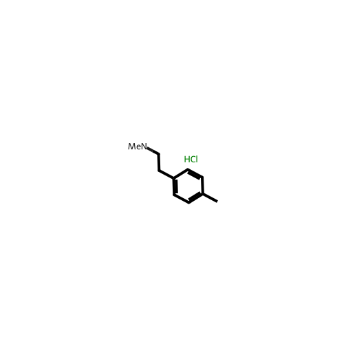 CNCCc1ccc(C)cc1.Cl